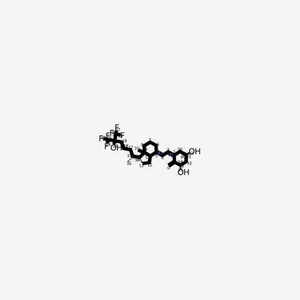 C=C1/C(=C\C=C2/CCCC3(C)C2CC[C@@H]3[C@H](C)CCCC(O)(C(F)(F)F)C(F)(F)F)C[C@@H](O)C[C@@H]1O